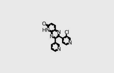 O=c1ccc2nc(-c3ccncc3Cl)c(-c3cccnc3)nc2[nH]1